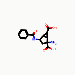 NC1(C(=O)O)CC(NC(=O)c2ccccc2)C2C(C(=O)O)C21